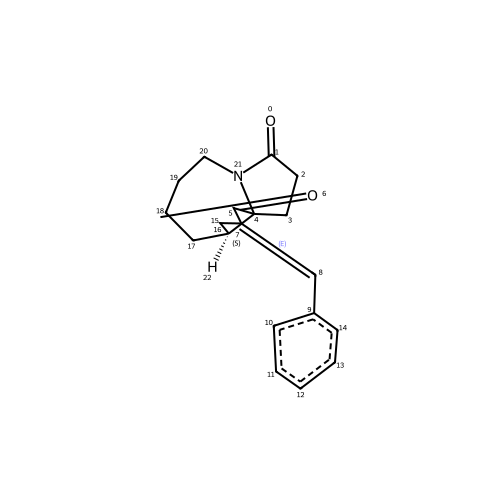 O=C1CCC23C(=O)/C(=C/c4ccccc4)C[C@@H]2CCCCN13